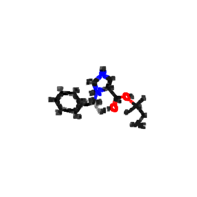 CC(=O)CC(C)(C)OC(=O)c1cncn1[C@H](C)c1ccccc1